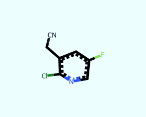 N#CCc1cc(F)cnc1Cl